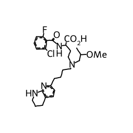 COC(C)CN(CCCCc1ccc2c(n1)NCCC2)CCC(NC(=O)c1c(F)cccc1Cl)C(=O)O